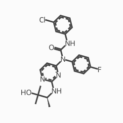 C[C@H](Nc1nccc(N(C(=O)Nc2cccc(Cl)c2)c2ccc(F)cc2)n1)C(C)(C)O